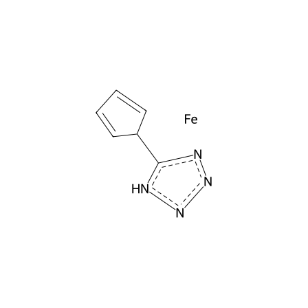 C1=CC(c2nnn[nH]2)C=C1.[Fe]